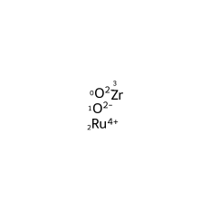 [O-2].[O-2].[Ru+4].[Zr]